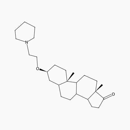 C[C@]12CC[C@H](OCCN3CCCCC3)CC1CCC1C2CC[C@]2(C)C(=O)CCC12